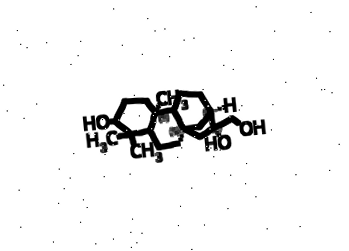 CC1(C)C(O)CC[C@]2(C)C1CC[C@@]13C[C@@H](CCC12)[C@@](O)(CO)C3